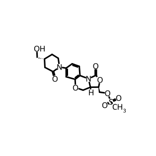 CS(=O)(=O)OC[C@@H]1OC(=O)N2c3ccc(N4CC[C@@H](CO)CC4=O)cc3OC[C@@H]12